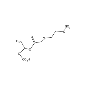 CC(OC(=O)O)OC(=O)COCCO[N+](=O)[O-]